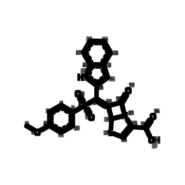 COc1ccc(S(=O)(=O)/C(=C2/C(=O)N3C(C(=O)O)=CSC23)c2cc3ccccc3[nH]2)cc1